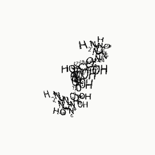 C[n+]1cn([C@@H]2O[C@H](COP(=O)(O)OP(=O)(O)C(C)(C)C[C@H]3O[C@@H](n4cnc5c(=O)[nH]c(N)nc54)C(O)[C@H]3O)C(O)C2O)c2nc(N)nc(O)c21